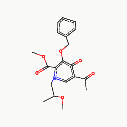 COC(=O)c1c(OCc2ccccc2)c(=O)c(C(C)=O)cn1CC(C)OC